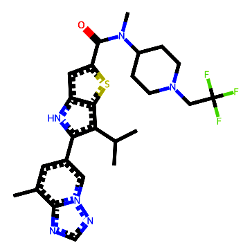 Cc1cc(-c2[nH]c3cc(C(=O)N(C)C4CCN(CC(F)(F)F)CC4)sc3c2C(C)C)cn2ncnc12